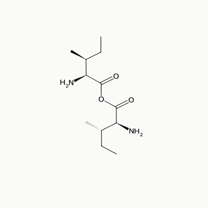 CC[C@H](C)[C@H](N)C(=O)OC(=O)[C@@H](N)[C@@H](C)CC